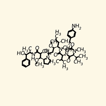 CC[C@H](C)[C@H](C(CC(=O)N1CCC[C@H]1C(OC)C(C)C(=O)N[C@H](C)C(O)c1ccccc1)OC)N(C)C(=O)[C@@H](NC(=O)[C@H](C(C)C)N(C)C(=O)OCc1ccc(N)cc1)C(C)C